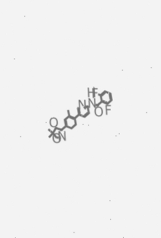 CC1=C(c2ccc(NC(=O)c3c(F)cccc3F)nc2)CCC(C2=NOC(C)(C)C2=O)=C1